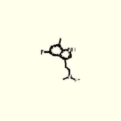 CCN(C)CCc1c[nH]c2c(C)cc(F)cc12